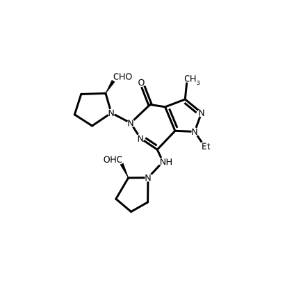 CCn1nc(C)c2c(=O)n(N3CCC[C@H]3C=O)nc(NN3CCC[C@H]3C=O)c21